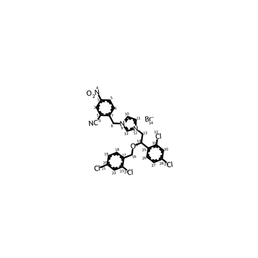 N#Cc1cc([N+](=O)[O-])ccc1C[n+]1ccn(CC(OCc2ccc(Cl)cc2Cl)c2ccc(Cl)cc2Cl)c1.[Br-]